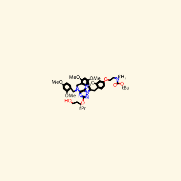 CCC[C@H](CCO)Oc1nc(N(Cc2ccc(OC)cc2OC)Cc2ccc(OC)cc2OC)c2ncc(Cc3ccc(OCCN(C)C(=O)OC(C)(C)C)cc3C)n2n1